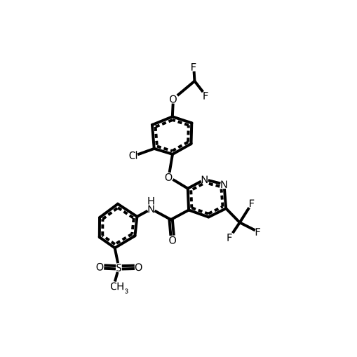 CS(=O)(=O)c1cccc(NC(=O)c2cc(C(F)(F)F)nnc2Oc2ccc(OC(F)F)cc2Cl)c1